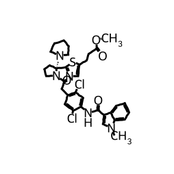 COC(=O)CCc1cnc([C@]2(N3CCCCC3)CCCN2C(=O)Cc2cc(Cl)c(NC(=O)c3cn(C)c4ccccc34)cc2Cl)s1